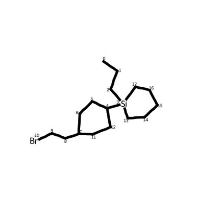 CCC[Si]1(C2CCC(CCBr)CC2)CCCCC1